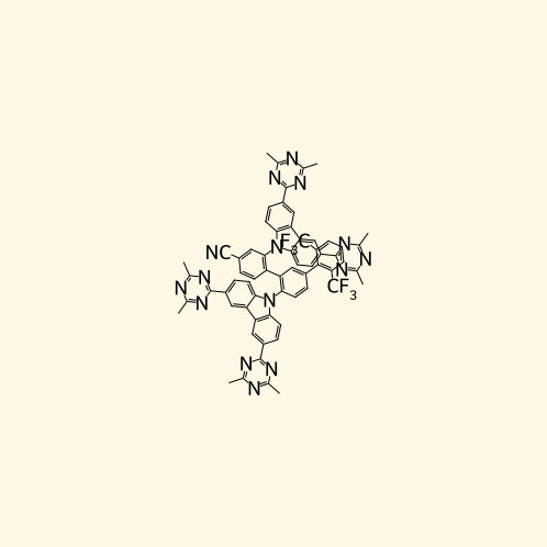 Cc1nc(C)nc(-c2ccc3c(c2)c2cc(-c4nc(C)nc(C)n4)ccc2n3-c2ccc(-c3c(C(F)(F)F)cccc3C(F)(F)F)cc2-c2ccc(C#N)cc2-n2c3ccc(-c4nc(C)nc(C)n4)cc3c3cc(-c4nc(C)nc(C)n4)ccc32)n1